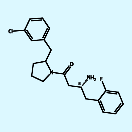 N[C@@H](CC(=O)N1CCCC1Cc1cccc(Cl)c1)Cc1ccccc1F